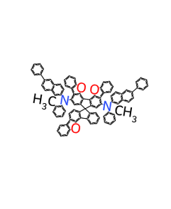 Cc1ccccc1N(c1ccc2cc(-c3ccccc3)ccc2c1)c1cc2c(c3oc4ccccc4c13)-c1c(cc(N(c3ccc4cc(-c5ccccc5)ccc4c3)c3ccccc3C)c3c1oc1ccccc13)C21c2ccccc2-c2c1ccc1c2oc2ccccc21